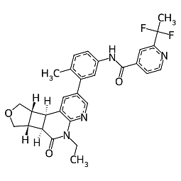 CCN1C(=O)[C@H]2[C@@H]3COC[C@@H]3[C@H]2c2cc(-c3cc(NC(=O)c4ccnc(C(C)(F)F)c4)ccc3C)cnc21